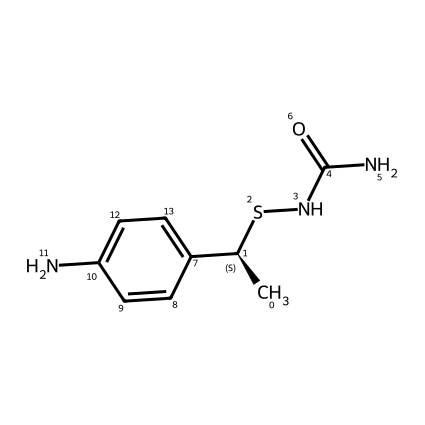 C[C@H](SNC(N)=O)c1ccc(N)cc1